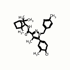 CC1=CC(c2c(C)c(C(=O)NC3C4(C)CCC(C4)C3(C)C)nn2Cc2ccc(C)cc2)=CCC1Cl